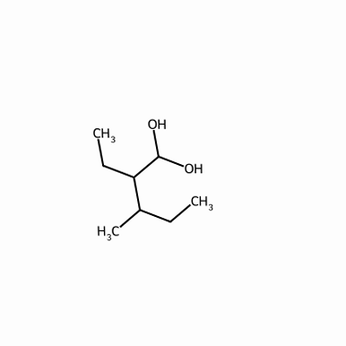 CCC(C)C(CC)C(O)O